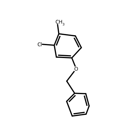 Cc1ccc(OCc2ccccc2)cc1Cl